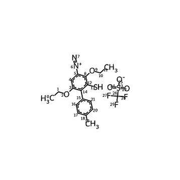 CCOc1cc([N+]#N)c(OCC)c(S)c1-c1ccc(C)cc1.O=S(=O)([O-])C(F)(F)F